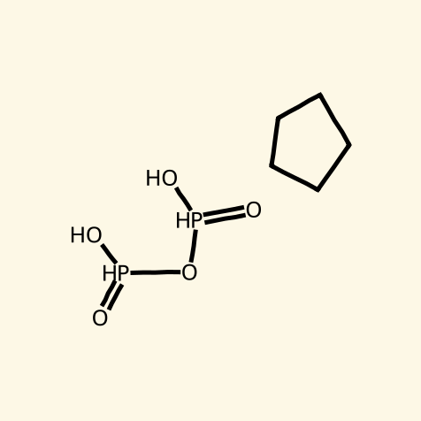 C1CCCC1.O=[PH](O)O[PH](=O)O